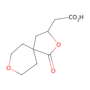 O=C(O)CC1CC2(CCOCC2)C(=O)O1